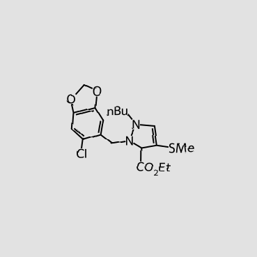 CCCCN1C=C(SC)C(C(=O)OCC)N1Cc1cc2c(cc1Cl)OCO2